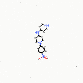 O=[N+]([O-])c1ccc(N2CCC(NC3CCNCC3)CC2)cc1